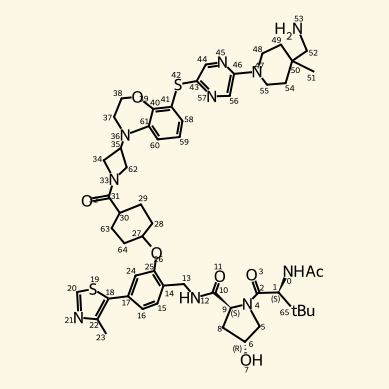 CC(=O)N[C@H](C(=O)N1C[C@H](O)C[C@H]1C(=O)NCc1ccc(-c2scnc2C)cc1OC1CCC(C(=O)N2CC(N3CCOc4c(Sc5cnc(N6CCC(C)(CN)CC6)cn5)cccc43)C2)CC1)C(C)(C)C